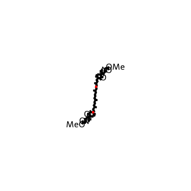 COC(=O)CN1CCN(C2CC(C)(C)C(/C=C/C(C)=C/C=C/C(C)=C/C=C/C=C(C)/C=C/C=C(C)/C=C/C3=C(C)C(=O)C(N4CCN(CC(=O)OC)CC4)CC3(C)C)=C(C)C2=O)CC1